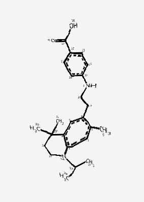 Cc1cc2c(cc1CCNc1ccc(C(=O)O)cc1)C(C)(C)CCN2C(C)C